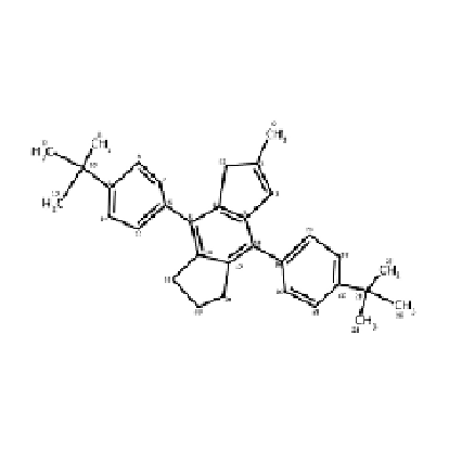 CC1=Cc2c(c(-c3ccc(C(C)(C)C)cc3)c3c(c2-c2ccc(C(C)(C)C)cc2)CCC3)C1